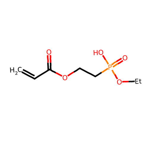 C=CC(=O)OCCP(=O)(O)OCC